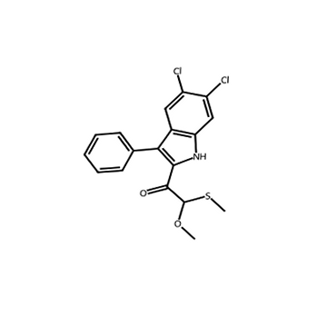 COC(SC)C(=O)c1[nH]c2cc(Cl)c(Cl)cc2c1-c1ccccc1